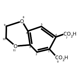 O=C(O)c1cc2c(cc1C(=O)O)OCCO2